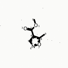 COC(=O)c1[c]noc1C